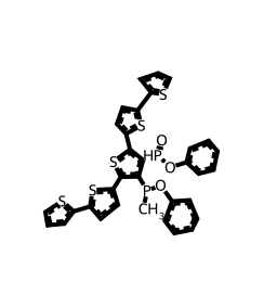 CP(Oc1ccccc1)c1c(-c2ccc(-c3cccs3)s2)sc(-c2ccc(-c3cccs3)s2)c1[PH](=O)Oc1ccccc1